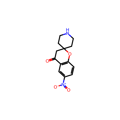 O=C1CC2(CCNCC2)Oc2ccc([N+](=O)[O-])cc21